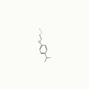 CSCCOc1ccc(C(C)C)cc1